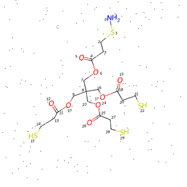 NSCCC(=O)OCC(COC(=O)CCS)(COC(=O)CCS)COC(=O)CCS